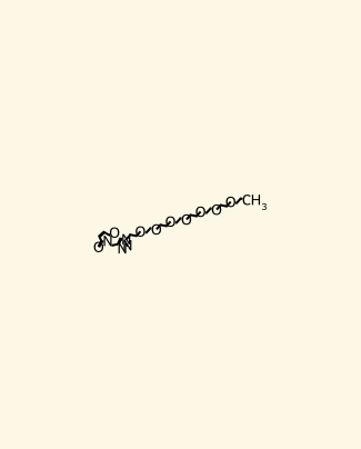 CCCOCCOCCOCCOCCOCCOCCOCCn1cc(CN2C(=O)C=CC2=O)nn1